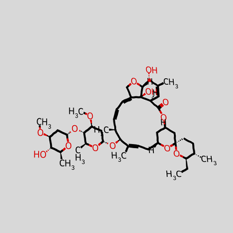 CC[C@H]1O[C@]2(CC[C@@H]1C)C[C@@H]1C[C@@H](C/C=C(\C)[C@@H](O[C@H]3C[C@H](OC)[C@@H](O[C@H]4C[C@H](OC)[C@@H](O)[C@H](C)O4)[C@H](C)O3)[C@@H](C)/C=C\C=C3\CO[C@@H]4[C@H](O)C(C)=C[C@@H](C(=O)O1)[C@]34O)O2